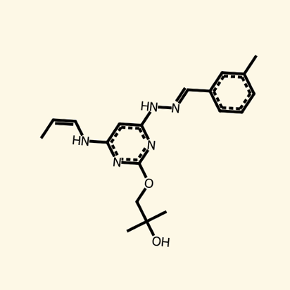 C/C=C\Nc1cc(N/N=C/c2cccc(C)c2)nc(OCC(C)(C)O)n1